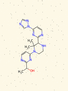 CC(O)c1nccc(N2CCNC(c3nccc(-n4cncn4)n3)C2(C)C)n1